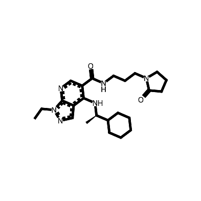 CCn1ncc2c(N[C@H](C)C3CCCCC3)c(C(=O)NCCCN3CCCC3=O)cnc21